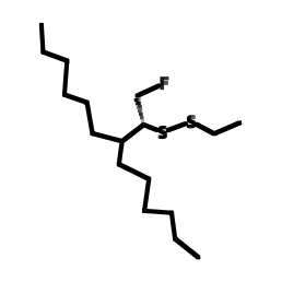 CCCCCCC(CCCCCC)[C@H](CF)SSCC